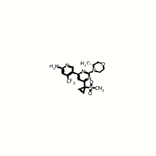 C[C@@H]1COCCN1c1nc(-c2cnc(N)cc2C(F)(F)F)cc(C2(S(C)(=O)=O)CC2)n1